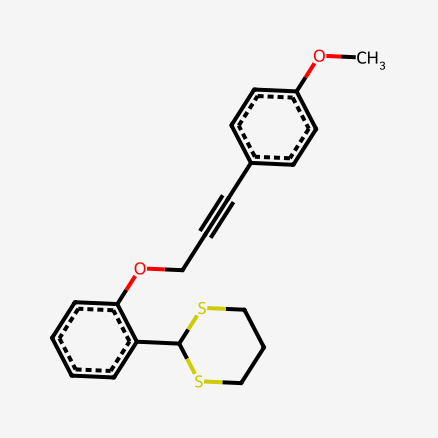 COc1ccc(C#CCOc2ccccc2C2SCCCS2)cc1